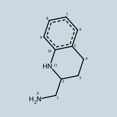 NCC1CCc2ccccc2N1